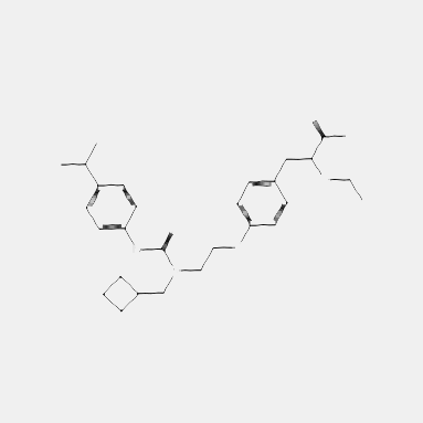 CCOC(Cc1ccc(OCCN(CC2CCC2)C(=O)Nc2ccc(C(C)C)cc2)cc1)C(=O)O